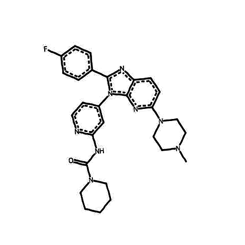 CN1CCN(c2ccc3nc(-c4ccc(F)cc4)n(-c4ccnc(NC(=O)N5CCCCC5)c4)c3n2)CC1